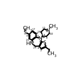 CCc1cc2c(s1)N(N1CCN(C)CC1)c1ccc(SC)cc1NC2